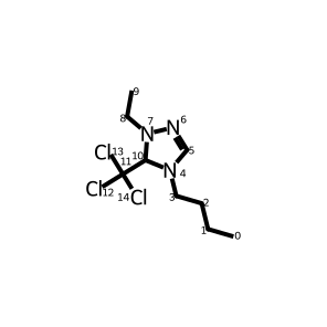 CCCCN1C=NN(CC)C1C(Cl)(Cl)Cl